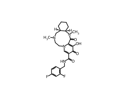 CN1CCn2cc(C(=O)NCc3ccc(F)cc3F)c(=O)c(O)c2C(=O)N(C)[C@H]2CCCC[C@H]2C1